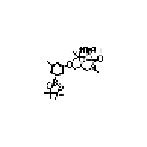 Cc1cc(OCC(CN(C)C(=O)OC(C)(C)C)O[Si](C)(C)C(C)(C)C)cc(B2OC(C)(C)C(C)(C)O2)c1